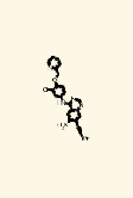 C[C](C)C#Cc1cc2ncnc(Nc3ccc(OCc4ccccn4)c(Cl)c3)c2cc1[N+](=O)[O-]